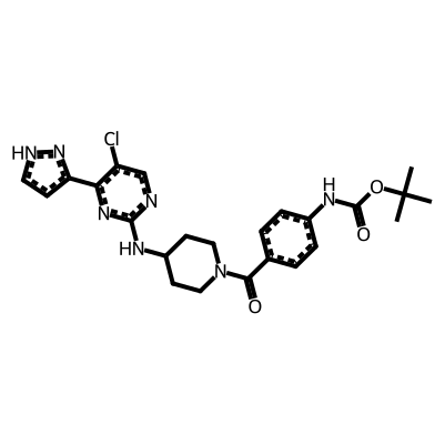 CC(C)(C)OC(=O)Nc1ccc(C(=O)N2CCC(Nc3ncc(Cl)c(-c4cc[nH]n4)n3)CC2)cc1